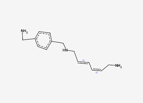 NC/C=C\C=C\CNCc1ccc(CN)cc1